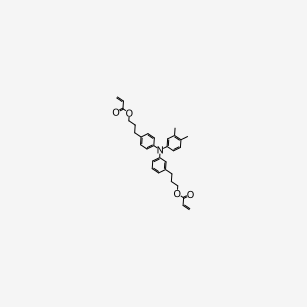 C=CC(=O)OCCCc1ccc(N(c2cccc(CCCOC(=O)C=C)c2)c2ccc(C)c(C)c2)cc1